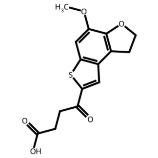 COc1cc2sc(C(=O)CCC(=O)O)cc2c2c1OCC2